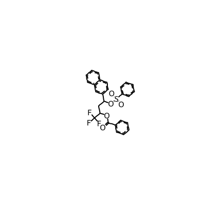 O=C(OC(CC(OS(=O)(=O)c1ccccc1)c1ccc2ccccc2c1)C(F)(F)F)c1ccccc1